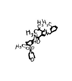 Cc1cccc(Cn2cc(C(=O)Nc3ccc(C)c(S(=O)(=O)N4CCOCC4)c3)c(C(C)C)n2)c1